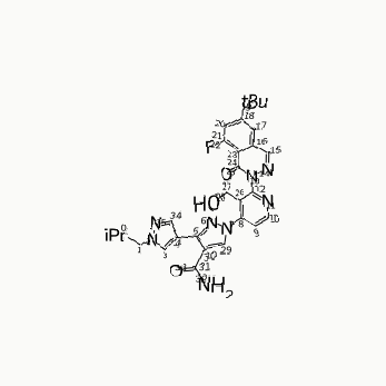 CC(C)Cn1cc(-c2nn(-c3ccnc(-n4ncc5cc(C(C)(C)C)cc(F)c5c4=O)c3CO)cc2C(N)=O)cn1